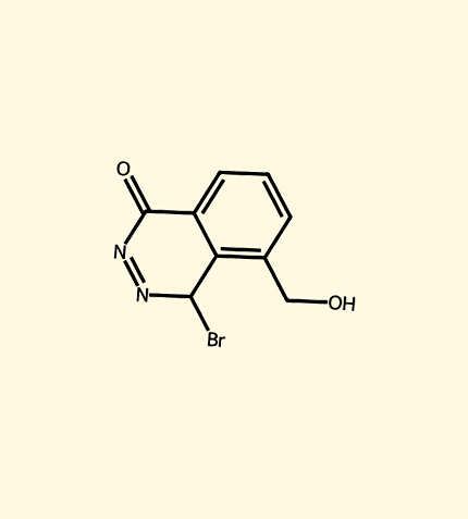 O=C1N=NC(Br)c2c(CO)cccc21